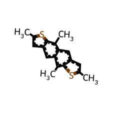 Cc1cc2cc3c(C)c4sc(C)cc4cc3c(C)c2s1